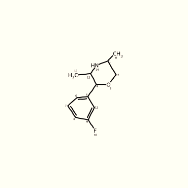 CC1COC(c2cccc(F)c2)C(C)N1